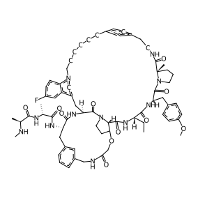 CC[C@@H]1NC(=O)[C@@H]2C3CCN2C(=O)[C@H](Cc2cn(c4ccc(F)cc24)CCCCCCc2ccc(cc2)CCNC(=O)[C@]2(C)CCCN2C(=O)[C@H](Cc2ccc(OC)cc2)NC1=O)NC(=O)[C@@H](NC(=O)[C@@H](C)NC(=O)[C@H](C)NC)Cc1cccc(c1)CNC(=O)CO3